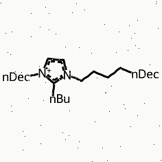 CCCCCCCCCCCCCCn1cc[n+](CCCCCCCCCC)c1CCCC